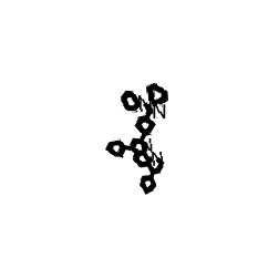 c1ccc(-c2ccnc3c2ccc2c(-c4ccccc4)cc(-c4ccc(-c5nc6ccccc6n5-c5ccccc5)cc4)nc23)cc1